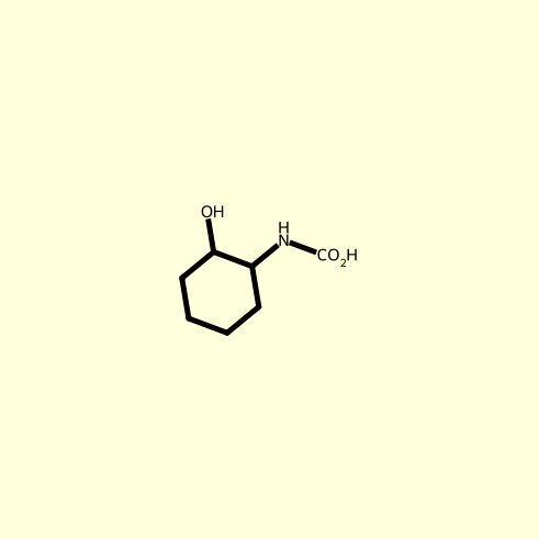 O=C(O)NC1CCCCC1O